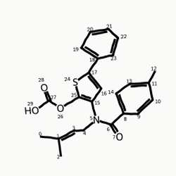 CC(C)=CCN(C(=O)c1ccc(C)cc1)c1cc(-c2ccccc2)sc1OC(=O)O